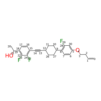 C=CCCOc1ccc(C2CCC(C#Cc3ccc(C(C)O)c(F)c3F)CC2)c(F)c1